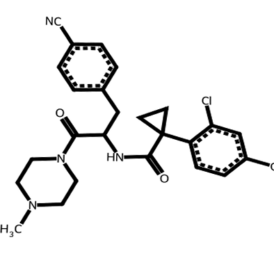 CN1CCN(C(=O)C(Cc2ccc(C#N)cc2)NC(=O)C2(c3ccc(Cl)cc3Cl)CC2)CC1